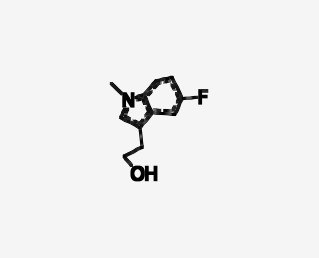 Cn1cc(CCO)c2cc(F)ccc21